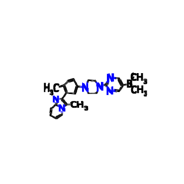 CB(C)c1cnc(N2CCN(c3ccc(C)c(-c4nc5ccccn5c4C)c3)CC2)nc1